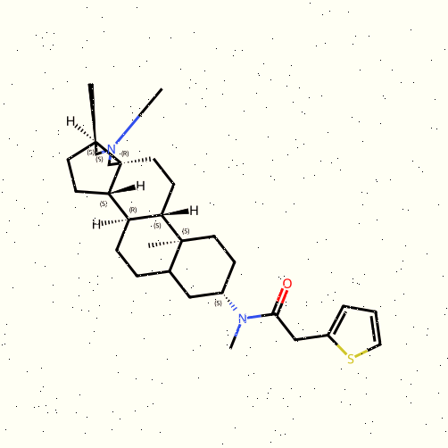 C[C@H]1[C@H]2CC[C@H]3[C@@H]4CCC5C[C@@H](N(C)C(=O)Cc6cccs6)CC[C@]5(C)[C@H]4CC[C@]23CN1C